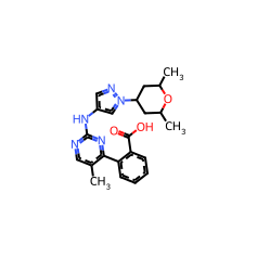 Cc1cnc(Nc2cnn(C3CC(C)OC(C)C3)c2)nc1-c1ccccc1C(=O)O